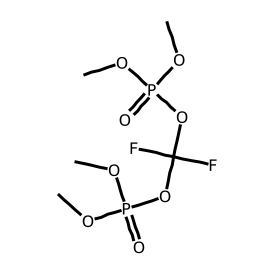 COP(=O)(OC)OC(F)(F)OP(=O)(OC)OC